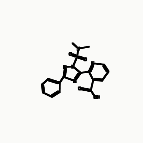 CN(C)S(=O)(=O)n1nc(-c2ccccc2)nc1-c1ncccc1C(=O)O